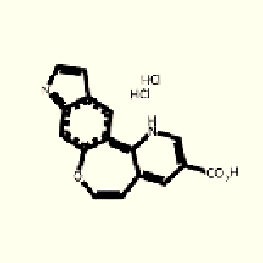 Cl.Cl.O=C(O)C1=CNC2=c3cc4c(cc3OC=CC2=C1)=NC=C4